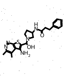 Cc1nnc2sc(C(O)N3CCC(NC(=O)CCc4ccccc4)C3)c(N)c2c1C